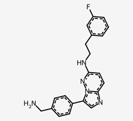 NCc1ccc(-c2cnc3ccc(NCCc4cccc(F)c4)nn23)cc1